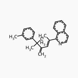 C=C(/C=C(\C)c1nccc2ccccc12)C(C)(C)c1cccc(C)c1